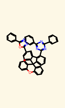 c1ccc(-c2nc(-c3ccccc3)nc(-c3cccc4c3-c3cc(-c5nnc(-c6ccccc6)o5)ccc3C43c4ccccc4Oc4ccccc43)n2)cc1